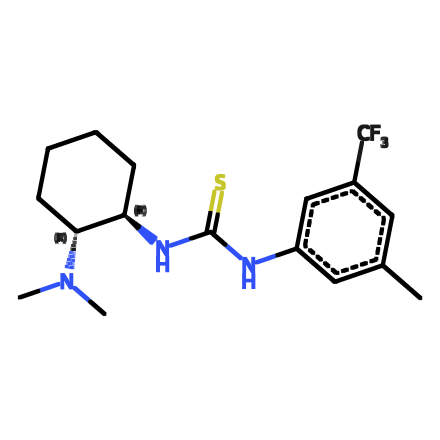 Cc1cc(NC(=S)N[C@@H]2CCCC[C@H]2N(C)C)cc(C(F)(F)F)c1